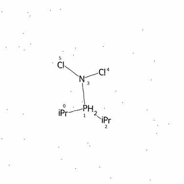 CC(C)[PH2](C(C)C)N(Cl)Cl